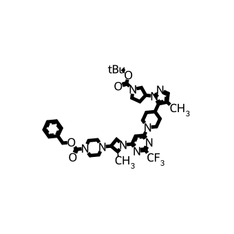 Cc1cnn(C2CCN(C(=O)OC(C)(C)C)C2)c1C1CCN(c2cc(N3CC(N4CCN(C(=O)OCc5ccccc5)CC4)[C@H]3C)nc(C(F)(F)F)n2)CC1